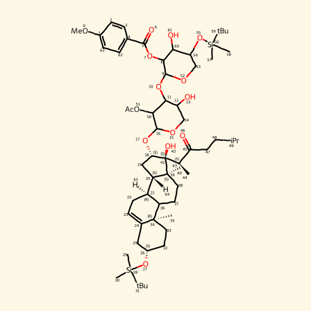 COc1ccc(C(=O)OC2C(OC3C(O)COC(O[C@H]4C[C@H]5[C@@H]6CC=C7C[C@@H](O[Si](C)(C)C(C)(C)C)CC[C@]7(C)C6CC[C@]5(C)[C@@]4(O)[C@H](C)C(=O)CCC(C)C)C3OC(C)=O)OCC(O[Si](C)(C)C(C)(C)C)C2O)cc1